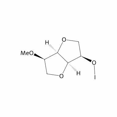 CO[C@@H]1CO[C@H]2[C@@H]1OC[C@H]2OI